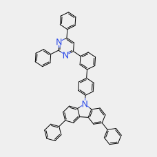 c1ccc(-c2ccc3c(c2)c2cc(-c4ccccc4)ccc2n3-c2ccc(-c3cccc(-c4cc(-c5ccccc5)nc(-c5ccccc5)n4)c3)cc2)cc1